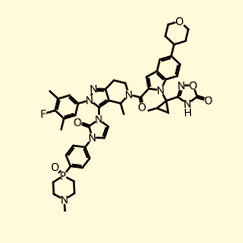 Cc1cc(-n2nc3c(c2-n2ccn(-c4ccc(P5(=O)CCN(C)CC5)cc4)c2=O)C(C)N(C(=O)c2cc4cc(C5CCOCC5)ccc4n2C2(c4noc(=O)[nH]4)CC2C)CC3)cc(C)c1F